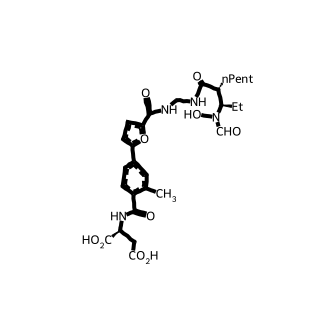 CCCCC[C@@H](C(=O)NCNC(=O)c1ccc(-c2ccc(C(=O)N[C@@H](CC(=O)O)C(=O)O)c(C)c2)o1)[C@@H](CC)N(O)C=O